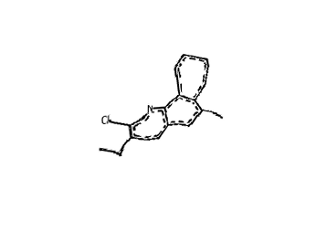 CCc1cc2cc(C)c3ccccc3c2nc1Cl